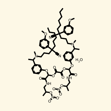 CCCCCCC(C#N)(CCCN(C)C(C)c1cccc(OC(OC(=O)C(=O)OC(Oc2cccc(C(C)N(C)CCCC(C#N)(CCCCCC)c3cccc(OC)c3)c2)C(=O)NCC(C)O[N+](=O)[O-])C(=O)NCC(C)O[N+](=O)[O-])c1)c1cccc(OC)c1.O